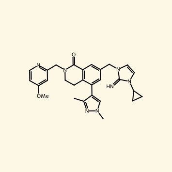 COc1ccnc(CN2CCc3c(cc(Cn4ccn(C5CC5)c4=N)cc3-c3cn(C)nc3C)C2=O)c1